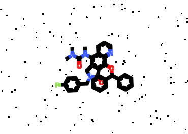 CN(C)C(=O)N(C)c1c2c(c(OC(c3ccccc3)c3ccccc3)c3ncccc13)C(=O)N(Cc1ccc(F)cc1)C2